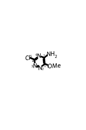 COc1nnc(Cl)nc1N